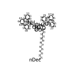 CCCCCCCCCCCCCCCCCCCCCCCC(=O)O[C@H](COC(c1ccccc1)(c1ccccc1)c1ccccc1)COP(=O)(O)OCCNC(c1ccccc1)(c1ccccc1)c1ccccc1